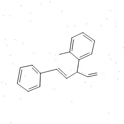 C=CC(C=Cc1ccccc1)c1ccccc1O